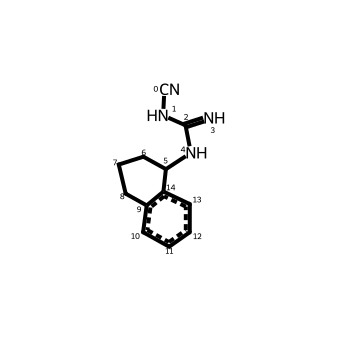 N#CNC(=N)NC1CCCc2ccccc21